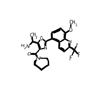 COc1ccc(-c2nc(C(=O)N3CCCC3)c(C(C)N)o2)c2ccc(C(F)(F)F)nc12